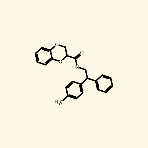 Cc1ccc(C(CNC(=O)C2COc3ccccc3O2)c2ccccc2)cc1